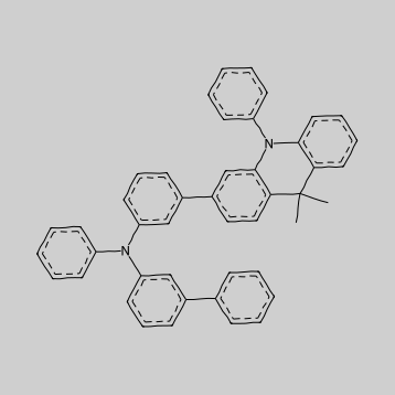 CC1(C)c2ccccc2N(c2ccccc2)c2cc(-c3cccc(N(c4ccccc4)c4cccc(-c5ccccc5)c4)c3)ccc21